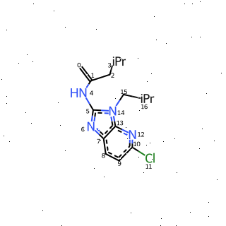 C=C(CC(C)C)Nc1nc2ccc(Cl)nc2n1CC(C)C